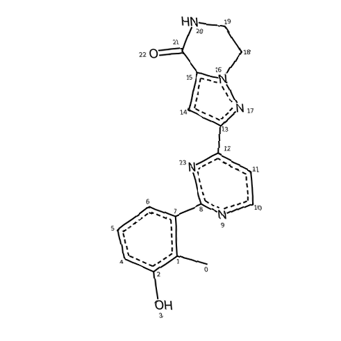 Cc1c(O)cccc1-c1nccc(-c2cc3n(n2)CCNC3=O)n1